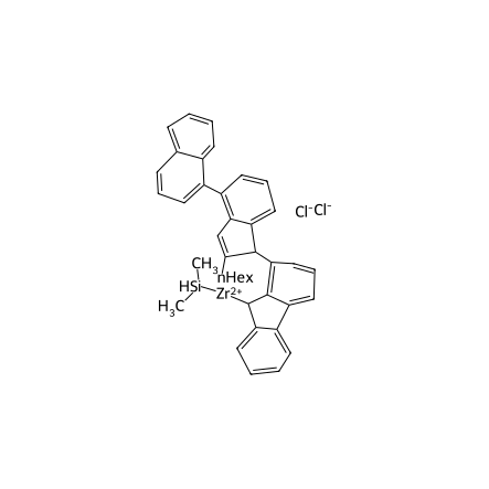 CCCCCCC1=Cc2c(-c3cccc4ccccc34)cccc2C1c1cccc2c1[CH]([Zr+2][SiH](C)C)c1ccccc1-2.[Cl-].[Cl-]